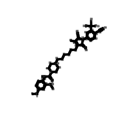 COc1ccc(NC(=O)N2CCN(CCCCCCC3=C(C)C(=O)N(c4ccc(C#N)c(C(F)(F)F)c4)C3=O)CC2)c(OC)c1